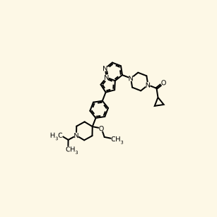 CCOC1(c2ccc(-c3cc4c(N5CCN(C(=O)C6CC6)CC5)ccnn4c3)cc2)CCN(C(C)C)CC1